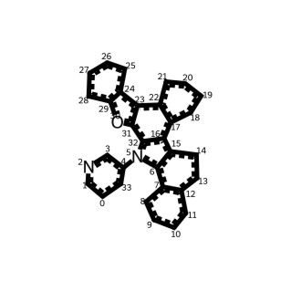 c1cncc(-n2c3c4ccccc4ccc3c3c4ccccc4c4c5ccccc5oc4c32)c1